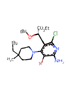 CCOC(=O)[C@@H](OC(C)(C)C)c1c(Cl)nc(N)c(Br)c1N1CCC(C)(CC(C)(C)C)CC1